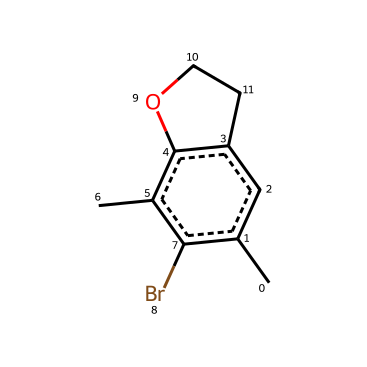 Cc1cc2c(c(C)c1Br)OCC2